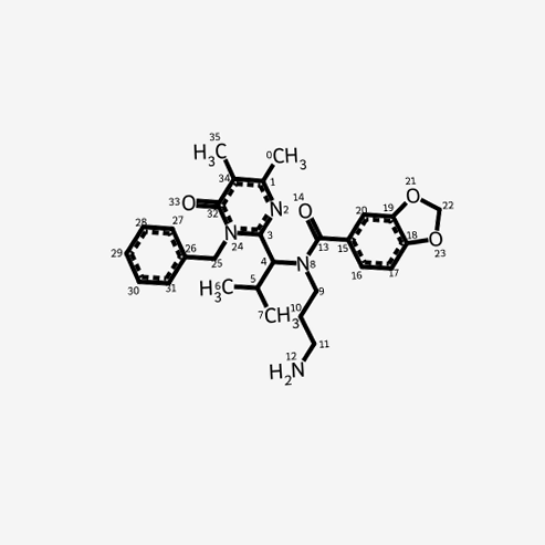 Cc1nc(C(C(C)C)N(CCCN)C(=O)c2ccc3c(c2)OCO3)n(Cc2ccccc2)c(=O)c1C